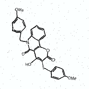 COc1ccc(Cn2c(=O)c3c(O)c(Sc4ccc(OC)cc4)c(=O)oc3c3ccccc32)cc1